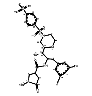 CCCCN1CC(C(=O)NC(Cc2cc(F)cc(F)c2)[C@H](O)[C@H]2CN(S(=O)(=O)c3ccc(S(C)(=O)=O)cc3)CCN2)CC1=O